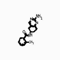 Cc1ccccc1C(=O)NC1CCc2nc(N)ncc2C1